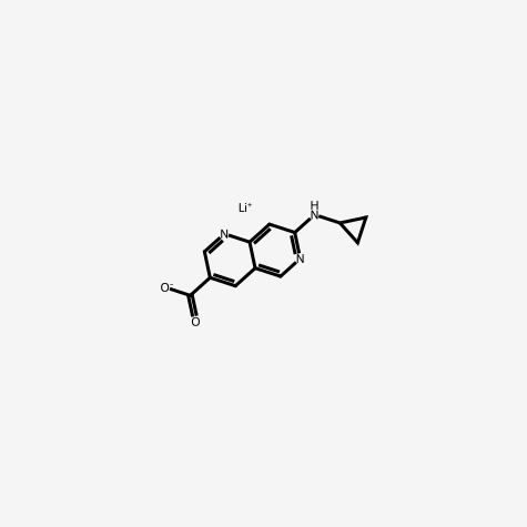 O=C([O-])c1cnc2cc(NC3CC3)ncc2c1.[Li+]